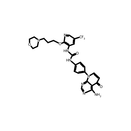 Nc1ncnc2c1c(=O)ccn2-c1ccc(NC(=O)Nc2cc(C(F)(F)F)cnc2OCCCN2CCOCC2)cc1